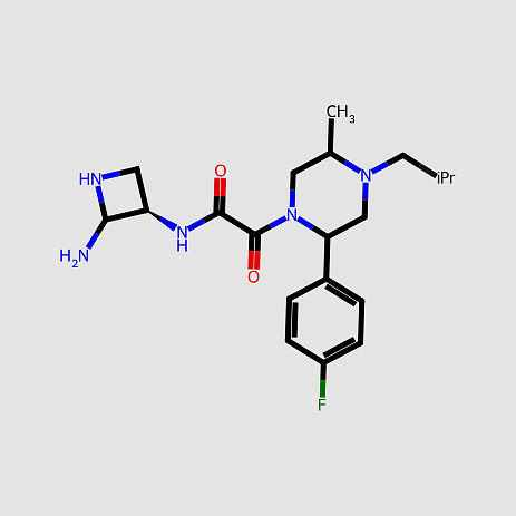 CC(C)CN1CC(c2ccc(F)cc2)N(C(=O)C(=O)N[C@@H]2CNC2N)CC1C